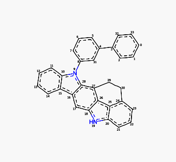 c1ccc(-c2cccc(-n3c4ccccc4c4cc5[nH]c6cccc7c6c5c(c43)CC7)c2)cc1